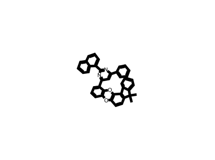 CC1(C)c2ccccc2-c2c1ccc1c2Oc2c(cccc2-c2cc(-c3ccccc3)nc(-c3cccc4ccccc34)n2)O1